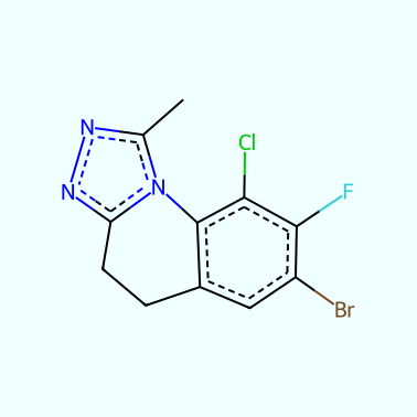 Cc1nnc2n1-c1c(cc(Br)c(F)c1Cl)CC2